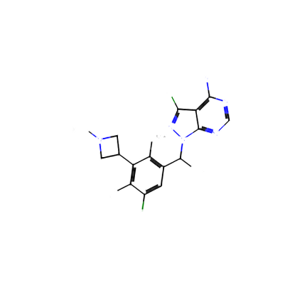 COc1c(C(C)n2nc(Br)c3c(N)ncnc32)cc(Cl)c(C)c1C1CN(C(=O)O)C1